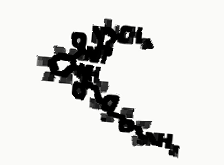 CC1CN=C(NC(=O)c2ccccc2NC(=O)CCOCCOCCN)S1